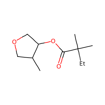 CCC(C)(C)C(=O)OC1COCC1C